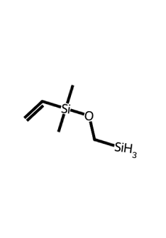 C=C[Si](C)(C)OC[SiH3]